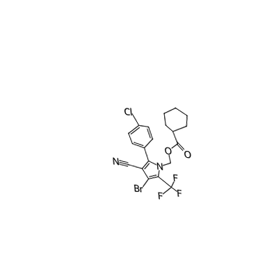 N#Cc1c(Br)c(C(F)(F)F)n(COC(=O)C2CCCCC2)c1-c1ccc(Cl)cc1